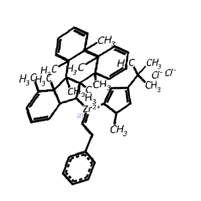 CC1=CC=CC2[CH](/[Zr+2](=[CH]/Cc3ccccc3)[C]3=CC(C(C)(C)C)=CC3C)C3(C)C4(C)C=CC=CC4(C)C4(C)C=CC=CC4(C)C3(C)C12C.[Cl-].[Cl-]